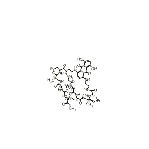 CC(C)C[C@H](NC(=O)[C@H](C)NC(=O)[C@H](CC(=O)O)NC(=O)CNC(=O)CN)C(=O)NCCNc1ccc(NCCNC(=O)[C@H](CC(C)C)NC(=O)[C@H](C)NC(=O)[C@H](CC(=O)O)NC(=O)CNC(=O)CN)c2c1C(=O)c1c(O)ccc(O)c1C2=O